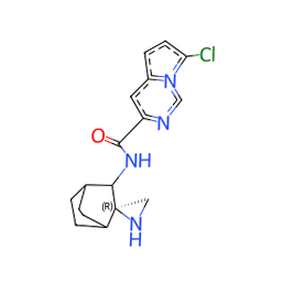 O=C(NC1C2CCC(CC2)[C@@]12CN2)c1cc2ccc(Cl)n2cn1